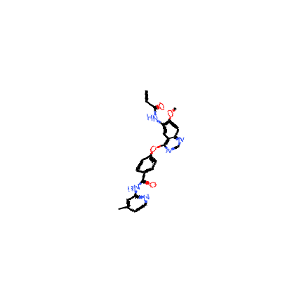 C=CC(=O)Nc1cc2c(Oc3ccc(C(=O)Nc4cc(C)ccn4)cc3)ncnc2cc1OC